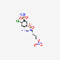 NS(=O)(=O)c1cc2c(cc1Cl)NCN(CCCCO[N+](=O)[O-])S2(=O)=O